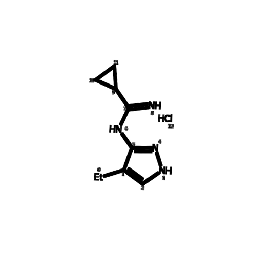 CCc1c[nH]nc1NC(=N)C1CC1.Cl